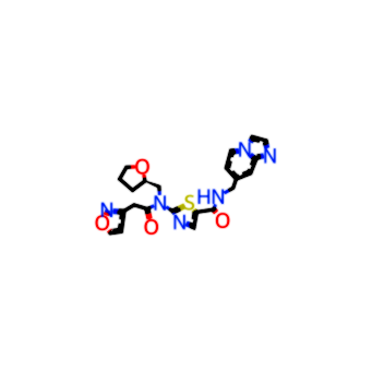 O=C(NCc1ccn2ccnc2c1)c1cnc(N(C[C@H]2CCCO2)C(=O)Cc2ccon2)s1